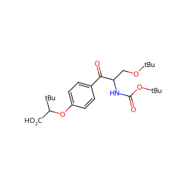 CC(C)(C)OCC(NC(=O)OC(C)(C)C)C(=O)c1ccc(OC(C(=O)O)C(C)(C)C)cc1